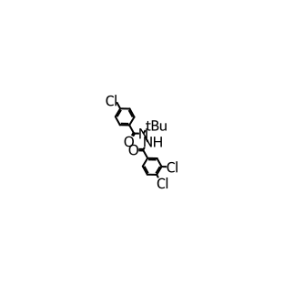 CC(C)(C)N(NC(=O)c1ccc(Cl)c(Cl)c1)C(=O)c1ccc(Cl)cc1